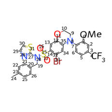 COc1cc(C(F)(F)F)ccc1N1CCOc2cc(S(=O)(=O)N(Cc3ccc(C)cc3)c3nccs3)c(Br)cc21